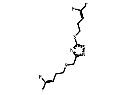 FC(F)=CCCSCc1nsc(SCCC=C(F)F)n1